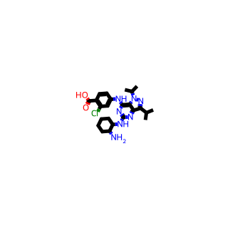 CC(C)c1nn(C(C)C)c2c(Nc3ccc(C(=O)O)c(Cl)c3)nc(NC3CCCCC3N)nc12